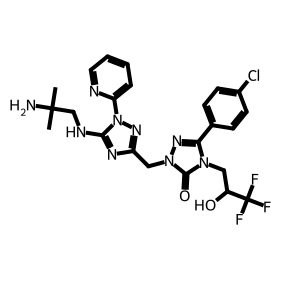 CC(C)(N)CNc1nc(Cn2nc(-c3ccc(Cl)cc3)n(CC(O)C(F)(F)F)c2=O)nn1-c1ccccn1